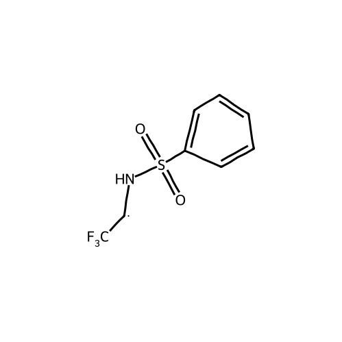 O=S(=O)(N[CH]C(F)(F)F)c1ccccc1